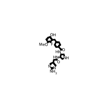 COc1ccc(O)c(Cc2ccc(C(=O)N[C@@H]3CNC[C@H]3NC(=O)Cc3cnc(N)nc3)cc2)c1F